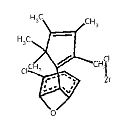 CC1=C(C)C(C)(C)C(c2c3ccc(Cl)c2O3)=C1C.[Cl][Zr]